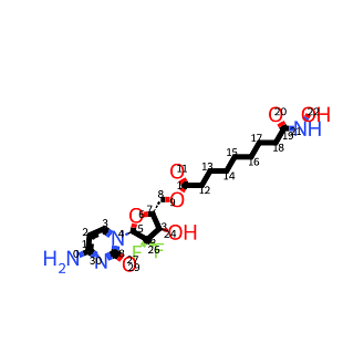 Nc1ccn([C@@H]2O[C@H](COC(=O)CCCCCCCC(=O)NO)[C@@H](O)C2(F)F)c(=O)n1